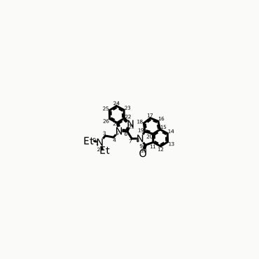 CCN(CC)CCn1c(CN2C(=O)c3cccc4cccc2c34)nc2ccccc21